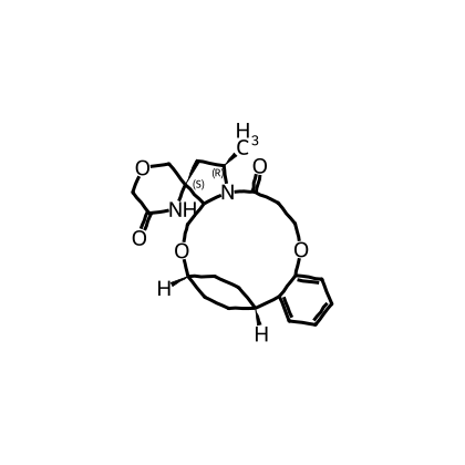 C[C@@H]1C[C@@]2(COCC(=O)N2)C2CO[C@H]3CC[C@H](CC3)c3ccccc3OCCC(=O)N21